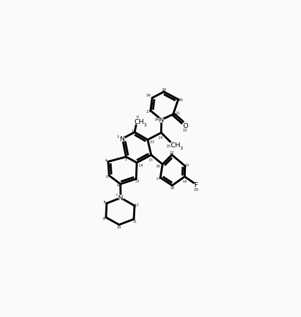 Cc1nc2ccc(N3CCCCC3)cc2c(-c2ccc(F)cc2)c1C(C)n1ccccc1=O